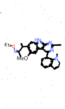 CCO/N=C(/C)C(C)c1cc2[nH]c3nc(C)nc(-c4cccc5c4N(C)CC=C5)c3c2cc1OC